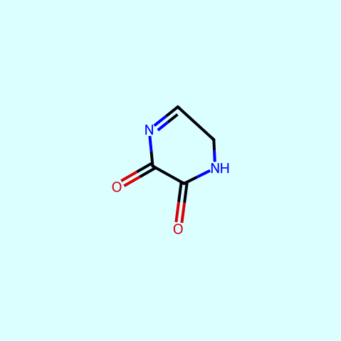 O=C1N=CCNC1=O